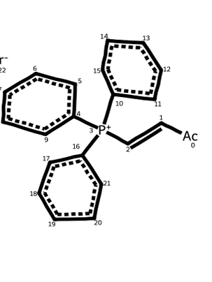 CC(=O)C=C[P+](c1ccccc1)(c1ccccc1)c1ccccc1.[Br-]